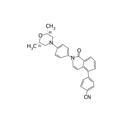 C[C@@H]1CN(c2ccc(-n3ccc4c(-c5ccc(C#N)cc5)cccc4c3=O)cc2)C[C@H](C)O1